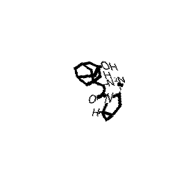 N#C[C@@H]1CC2C[C@@H]2N1C(=O)[C@@H](N)C12CC3CC(CC(O)(C3)C1)C2